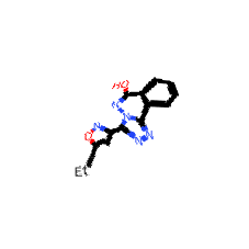 CCc1cc(-c2nnc3c4ccccc4c(O)nn23)no1